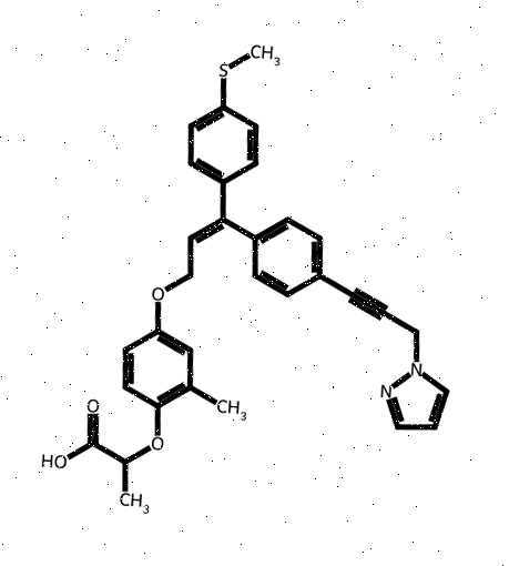 CSc1ccc(C(=CCOc2ccc(OC(C)C(=O)O)c(C)c2)c2ccc(C#CCn3cccn3)cc2)cc1